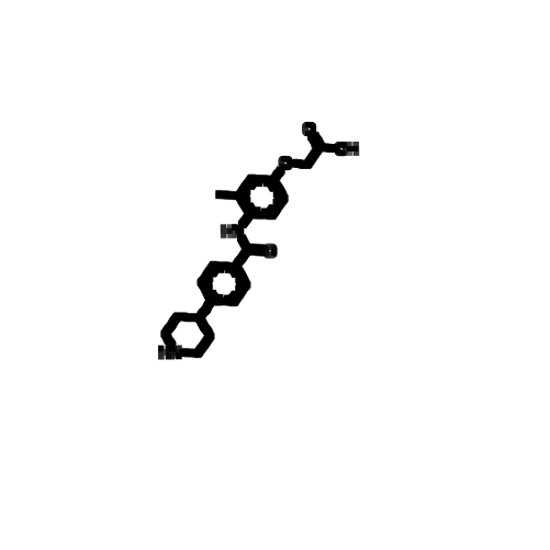 Cc1cc(OCC(=O)O)ccc1NC(=O)c1ccc(C2CCNCC2)cc1